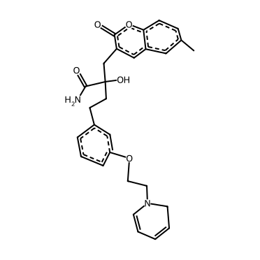 Cc1ccc2oc(=O)c(CC(O)(CCc3cccc(OCCN4C=CC=CC4)c3)C(N)=O)cc2c1